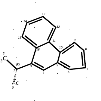 CC(=O)[C@H](C)c1cc2ccccc2c2ccccc12